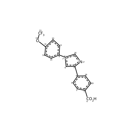 O=C(O)c1ccc(-c2cn(-c3ccc(OC(F)(F)F)cc3)cn2)cc1